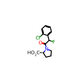 O=C(O)[C@@H]1CCCN1C(=O)C(F)c1ccccc1Cl